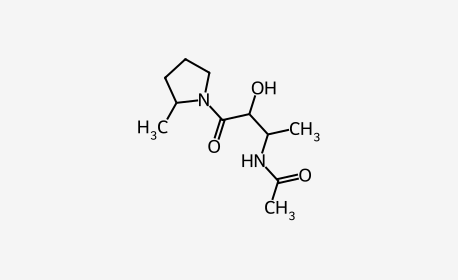 CC(=O)NC(C)C(O)C(=O)N1CCCC1C